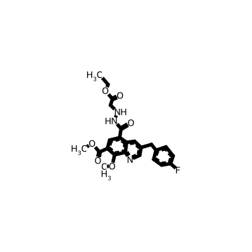 CCOC(=O)CNNC(=O)c1cc(C(=O)OC)c(OC)c2ncc(Cc3ccc(F)cc3)cc12